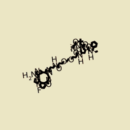 CC[C@H](NC(=O)[C@H]1C[C@@H](NC(=O)CCOCCOCCC(=O)NCCn2cc3c(n2)CN(C)C(=O)c2ccc(F)cc2[C@H]2CCCN2c2cc-3cnc2N)CN1C(=O)C(NC(=O)[C@@H](C)NC)C(C)(C)C)c1ccccc1